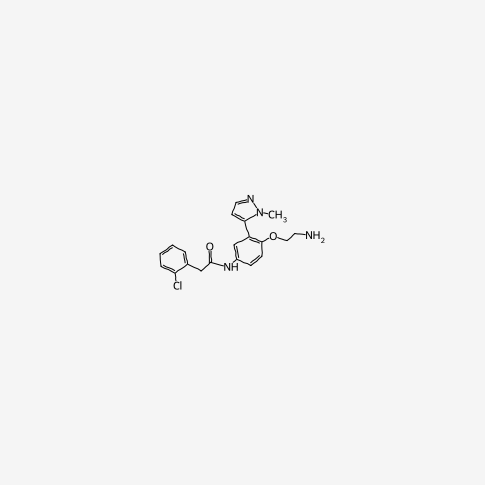 Cn1nccc1-c1cc(NC(=O)Cc2ccccc2Cl)ccc1OCCN